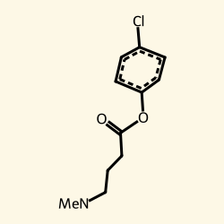 CNCCCC(=O)Oc1ccc(Cl)cc1